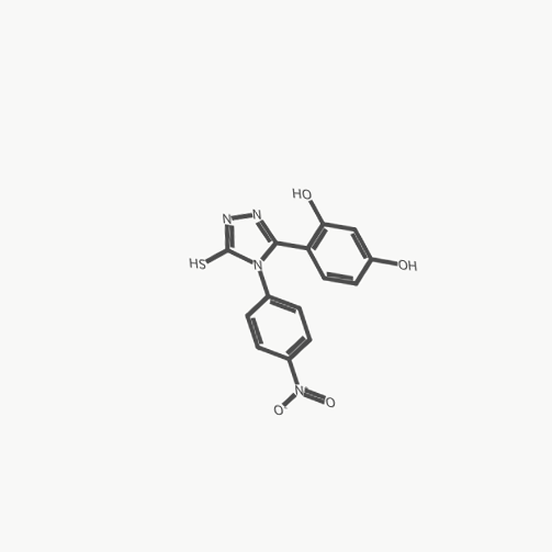 O=[N+]([O-])c1ccc(-n2c(S)nnc2-c2ccc(O)cc2O)cc1